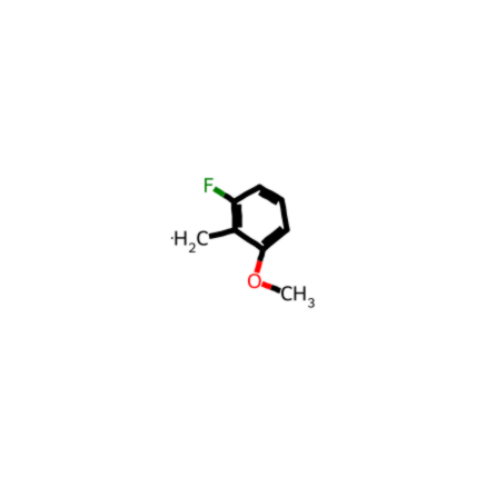 [CH2]c1c(F)cccc1OC